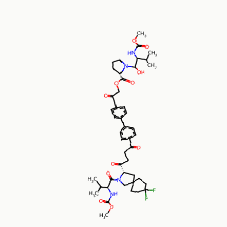 COC(=O)N[C@@H](C(C)C)C(O)N1CCC[C@H]1C(=O)OCC(=O)c1ccc(-c2ccc(C(=O)CCC(=O)[C@@H]3CC4(CCC(F)(F)CC4)CN3C(=O)[C@@H](NC(=O)OC)C(C)C)cc2)cc1